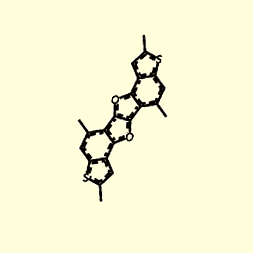 Cc1cc2c(cc(C)c3c2oc2c3oc3c4cc(C)sc4cc(C)c32)s1